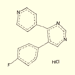 Cl.Fc1ccc(-c2cncnc2-c2ccncc2)cc1